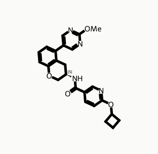 COc1ncc(-c2cccc3c2C[C@H](NC(=O)c2ccc(OC4CCC4)nc2)CO3)cn1